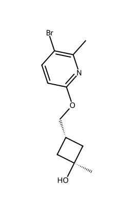 Cc1nc(OC[C@H]2C[C@](C)(O)C2)ccc1Br